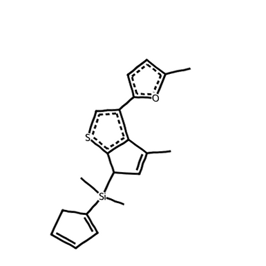 CC1=CC([Si](C)(C)C2=CC=CC2)c2scc(-c3ccc(C)o3)c21